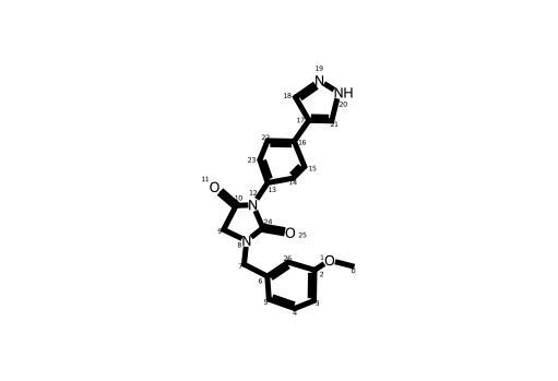 COc1cccc(CN2CC(=O)N(c3ccc(-c4cn[nH]c4)cc3)C2=O)c1